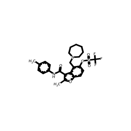 Cc1ccc(NC(=O)c2c(C)oc3ccc(OS(=O)(=O)C(F)(F)F)c(CN4CCCCCC4)c23)cc1